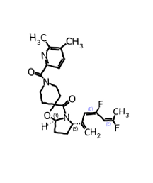 C=C(/C=C(F)\C=C(/C)F)[C@@H]1CC[C@H]2OC3(CCN(C(=O)c4ccc(C)c(C)n4)CC3)C(=O)N21